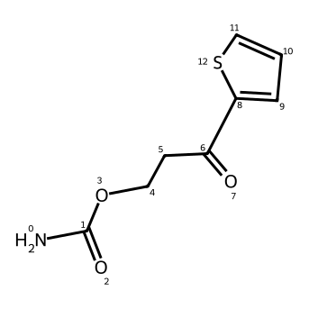 NC(=O)OCCC(=O)c1cccs1